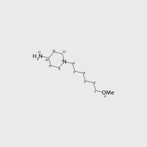 COCCCCCCN1CCC(N)CC1